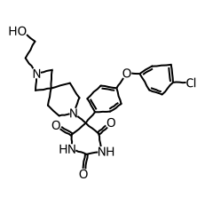 O=C1NC(=O)C(c2ccc(Oc3ccc(Cl)cc3)cc2)(N2CCC3(CC2)CN(CCO)C3)C(=O)N1